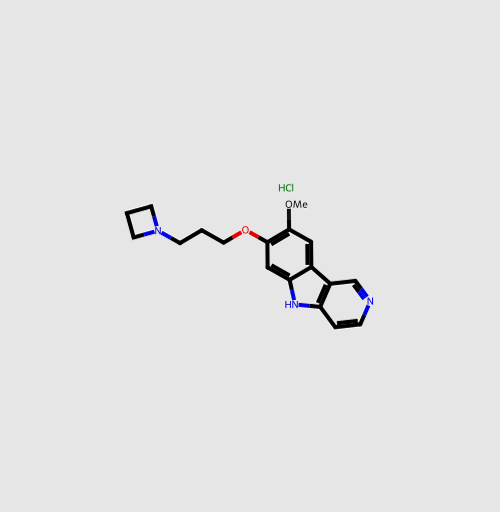 COc1cc2c(cc1OCCCN1CCC1)[nH]c1ccncc12.Cl